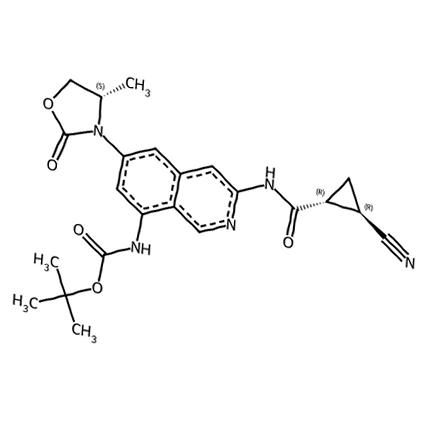 C[C@H]1COC(=O)N1c1cc(NC(=O)OC(C)(C)C)c2cnc(NC(=O)[C@@H]3C[C@H]3C#N)cc2c1